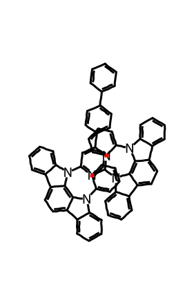 c1ccc(-c2ccc(-c3cc(-n4c5ccccc5c5ccc6c7ccccc7n(-c7ccccc7)c6c54)nc(-n4c5ccccc5c5ccc6c7ccccc7n(-c7ccccc7)c6c54)n3)cc2)cc1